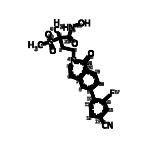 CC(CCn1ccc2cc(-c3ccc(C#N)cc3F)ccc2c1=O)(C(=O)NO)S(C)(=O)=O